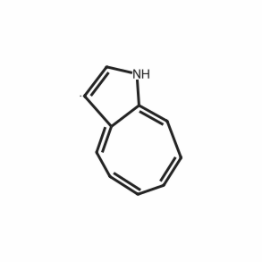 [c]1c[nH]c2/c1=C\C=C/C=C\C=2